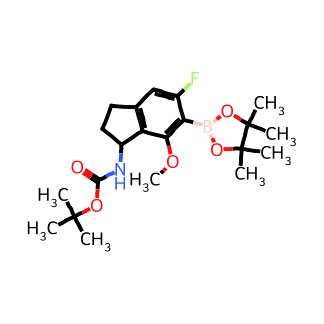 COc1c(B2OC(C)(C)C(C)(C)O2)c(F)cc2c1C(NC(=O)OC(C)(C)C)CC2